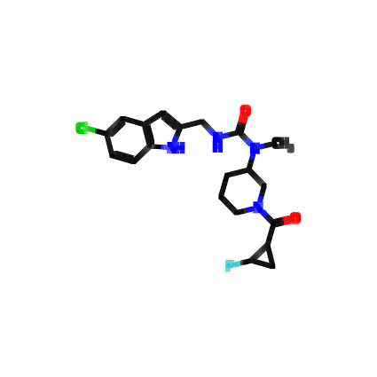 CN(C(=O)NCc1cc2cc(Cl)ccc2[nH]1)C1CCCN(C(=O)C2CC2F)C1